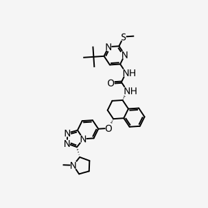 CSc1nc(NC(=O)N[C@H]2CC[C@@H](Oc3ccc4nnc([C@@H]5CCCN5C)n4c3)c3ccccc32)cc(C(C)(C)C)n1